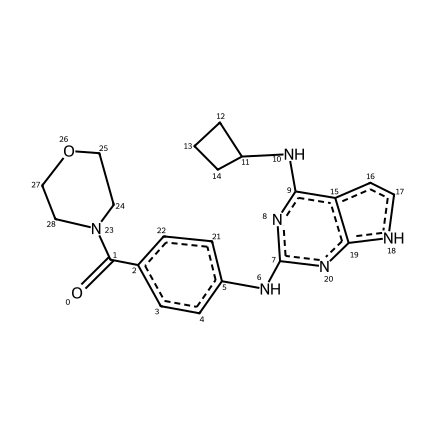 O=C(c1ccc(Nc2nc(NC3CCC3)c3cc[nH]c3n2)cc1)N1CCOCC1